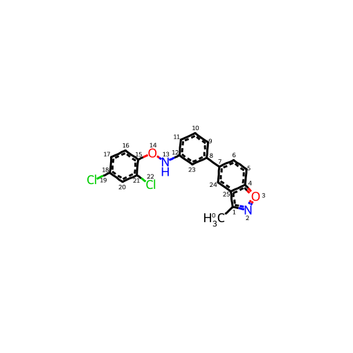 Cc1noc2ccc(-c3cccc(NOc4ccc(Cl)cc4Cl)c3)cc12